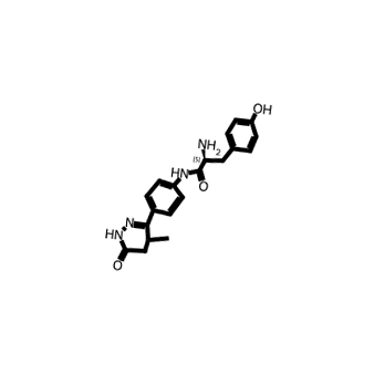 CC1CC(=O)NN=C1c1ccc(NC(=O)[C@@H](N)Cc2ccc(O)cc2)cc1